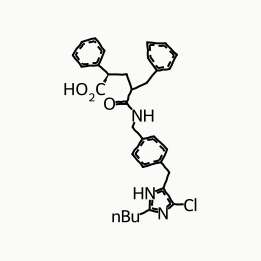 CCCCc1nc(Cl)c(Cc2ccc(CNC(=O)C(Cc3ccccc3)C[C@@H](C(=O)O)c3ccccc3)cc2)[nH]1